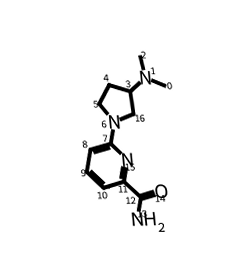 CN(C)C1CCN(c2cc[c]c(C(N)=O)n2)C1